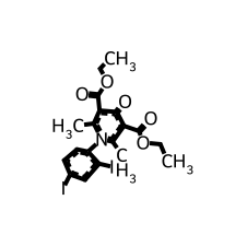 CCOC(=O)c1c(C)n(-c2ccc(I)cc2I)c(C)c(C(=O)OCC)c1=O